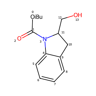 CC(C)COC(=O)N1c2ccccc2CC1CO